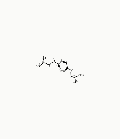 CCCCC(CC)COC(=O)/C=C\C(=O)OCC(CCCC)C(C)C